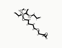 CCCOC(C)[Si](CC)(OC)OCCCCOCC1CO1